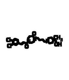 CC1(CO)CCN(CCCCN2CCN(C(=O)/C=C/c3ccc(Cl)c(Cl)c3)CCC2=O)CC1